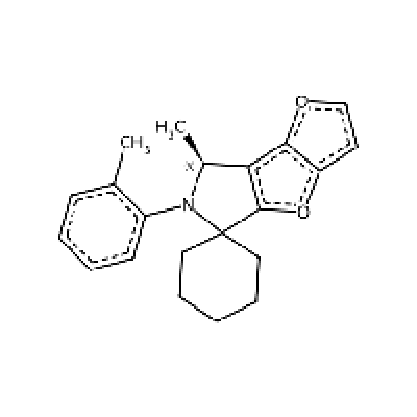 Cc1ccccc1N1[C@@H](C)c2c(oc3ccoc23)C12CCCCC2